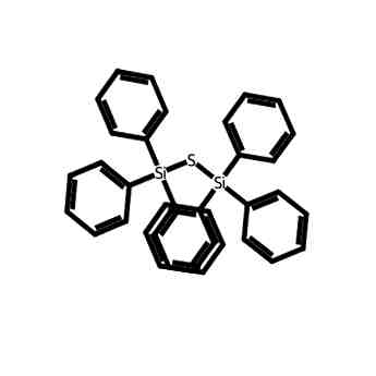 c1ccc([Si](S[Si](c2ccccc2)(c2ccccc2)c2ccccc2)(c2ccccc2)c2ccccc2)cc1